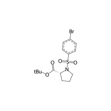 CC(C)(C)OC(=O)[C@H]1CCCN1S(=O)(=O)c1ccc(Br)cc1